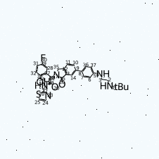 CC(C)(C)NCCNc1ccc(-c2ccc3c(c2)C(=O)N([C@H](C(=O)Nc2nccs2)c2cc(F)ccc2O)C3)cc1